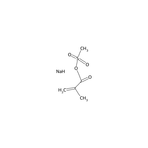 C=C(C)C(=O)OS(C)(=O)=O.[NaH]